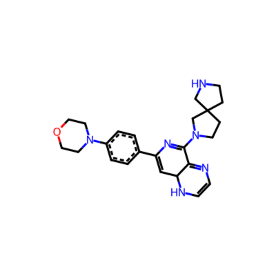 C1=CNC2C=C(c3ccc(N4CCOCC4)cc3)N=C(N3CCC4(CCNC4)C3)C2=N1